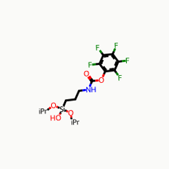 CC(C)O[Si](O)(CCCNC(=O)Oc1c(F)c(F)c(F)c(F)c1F)OC(C)C